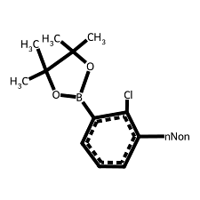 CCCCCCCCCc1cccc(B2OC(C)(C)C(C)(C)O2)c1Cl